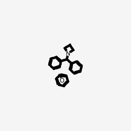 c1cc2cc(c1)O2.c1ccc(C(c2ccccc2)N2CCC2)cc1